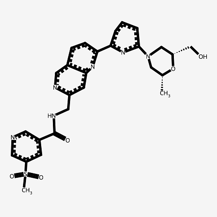 C[C@@H]1CN(c2cccc(-c3ccc4cnc(CNC(=O)c5cncc(S(C)(=O)=O)c5)cc4n3)n2)C[C@H](CO)O1